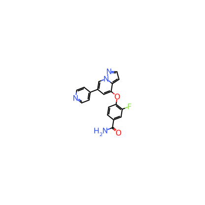 NC(=O)c1ccc(Oc2cc(-c3ccncc3)cn3nccc23)c(F)c1